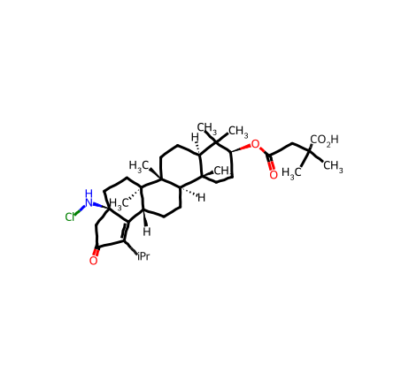 CC(C)C1=C2[C@H]3CC[C@@H]4[C@@]5(C)CC[C@H](OC(=O)CC(C)(C)C(=O)O)C(C)(C)[C@@H]5CC[C@@]4(C)[C@]3(C)CC[C@@]2(NCl)CC1=O